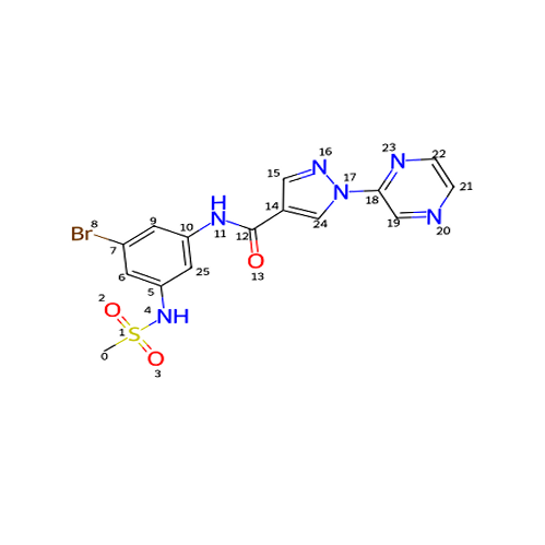 CS(=O)(=O)Nc1cc(Br)cc(NC(=O)c2cnn(-c3cnccn3)c2)c1